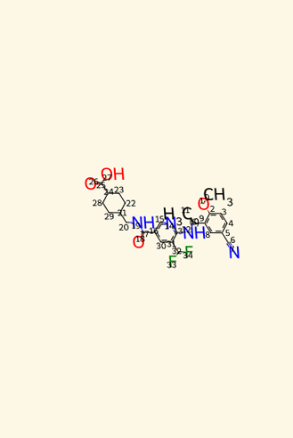 COc1ccc(C#N)cc1[C@H](C)Nc1ncc(C(=O)NCC2CCC(C(=O)O)CC2)cc1C(F)F